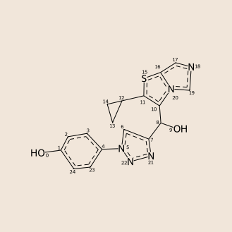 Oc1ccc(-n2cc(C(O)c3c(C4CC4)sc4cncn34)nn2)cc1